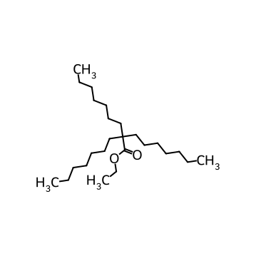 CCCCCCCC(CCCCCCC)(CCCCCCC)C(=O)OCC